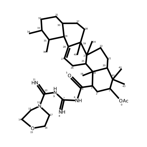 CC(=O)OC1CC(C(=O)NC(=N)NC(=N)N2CCOCC2)C2(C)C(CCC3(C)C2CC=C2C4C(CCC(C)C4C)CCC23C)C1(C)C